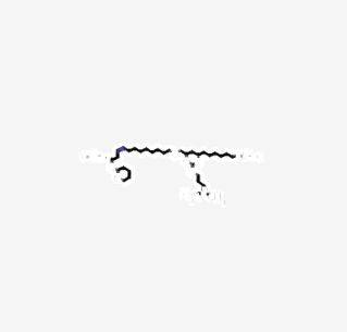 CCCCCCCCCCCCCCCCCCC(COCCCCCCCC/C=C\CC(CCCCCC)OC1CCCCO1)OC(=O)OCCCN(C)C